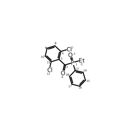 CCP(=O)(C(=O)c1c(Cl)cccc1Cl)c1ccccc1